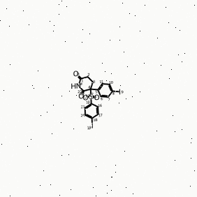 O=C1CCC(c2ccc(I)cc2)(S(=O)(=O)c2ccc(I)cc2)C(=O)N1